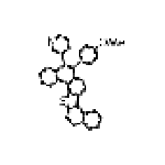 COc1ccc(-c2c(-c3cccnc3)c3ccccc3c3c2ccc2c3sc3ccc4ccccc4c32)cc1